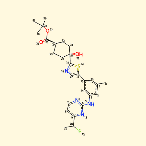 Cc1cc(Nc2nccc(C(C)F)n2)cc(-c2cnc([C@]3(O)CC[C@@H](C(=O)OC(C)(C)C)CC3)s2)c1